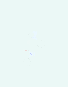 CC(C)c1ccccc1NC(=O)COc1cc(C(F)(F)F)nn1-c1ccccc1Cl